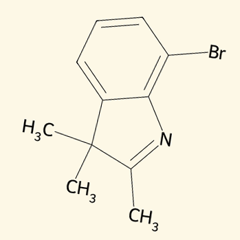 CC1=Nc2c(Br)cccc2C1(C)C